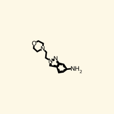 Nc1ccc2cn(CCN3CCOCC3)nc2c1